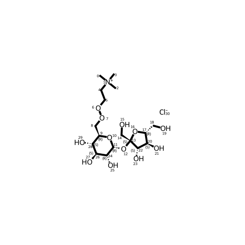 C[N+](C)(C)CCOOC[C@H]1O[C@H](O[C@]2(CO)O[C@H](CO)[C@@H](O)[C@@H]2O)[C@H](O)[C@@H](O)[C@@H]1O.[Cl-]